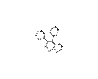 [c]1ccccc1-c1c(-c2ccccc2)nnc2ccccc12